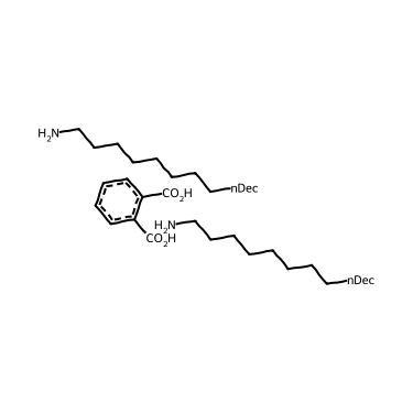 CCCCCCCCCCCCCCCCCCN.CCCCCCCCCCCCCCCCCCN.O=C(O)c1ccccc1C(=O)O